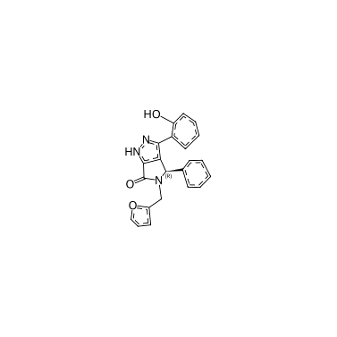 O=C1c2[nH]nc(-c3ccccc3O)c2[C@@H](c2ccccc2)N1Cc1ccco1